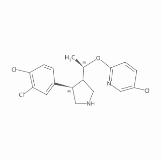 C[C@@H](Oc1ccc(Cl)cn1)C1CNC[C@H]1c1ccc(Cl)c(Cl)c1